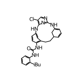 CCC(C)c1ccccc1NC(=O)Nc1ccc2cc1CCC1C=CC=C(C1)Nc1ncc(Cl)c(n1)N2